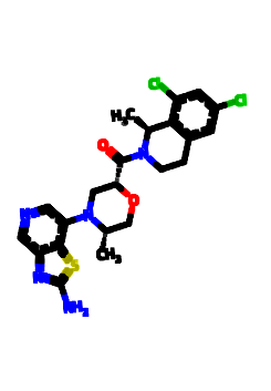 C[C@H]1c2c(Cl)cc(Cl)cc2CCN1C(=O)[C@H]1CN(c2cncc3nc(N)sc23)[C@@H](C)CO1